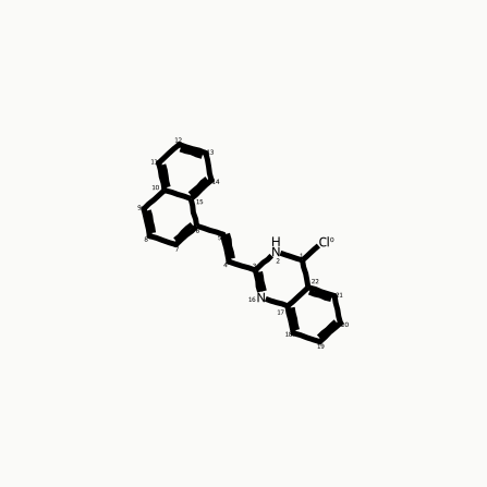 ClC1NC(/C=C/c2cccc3ccccc23)=Nc2ccccc21